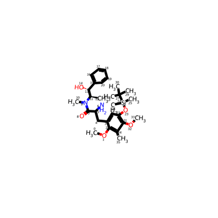 COc1c(CC(N)C(=O)N(C)[C@H](C)[C@H](O)c2ccccc2)cc(O[Si](C)(C)C(C)(C)C)c(OC)c1C